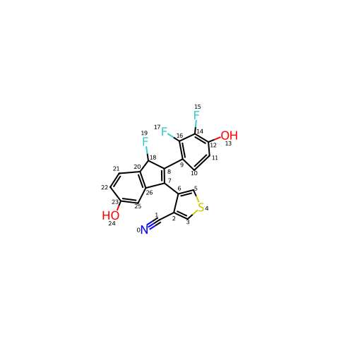 N#Cc1cscc1C1=C(c2ccc(O)c(F)c2F)C(F)c2ccc(O)cc21